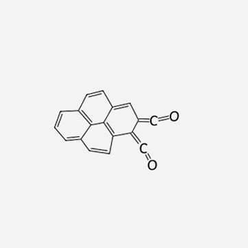 O=C=c1cc2ccc3cccc4ccc(c1=C=O)c2c34